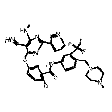 CNc1nc(-c2cccnc2)nc(Oc2ccc(Cl)c(C(=O)Nc3ccc(CN4CCN(C)CC4)c(C(F)(F)F)c3)c2)c1C=N